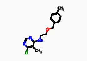 Cc1ccc(COCCNc2ncnc(Cl)c2C)cc1